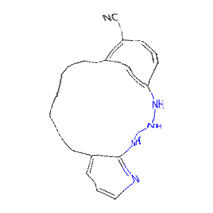 N#Cc1ccc2cc1CCCCCCc1cccnc1NNN2